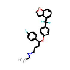 O=C(O)CNCCCC(Oc1ccc(C(F)(F)c2cccc3c2CCO3)cc1)c1ccc(F)cc1